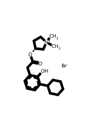 C[N+]1(C)CC[C@@H](OC(=O)Cc2cccc(C3CCCCC3)c2O)C1.[Br-]